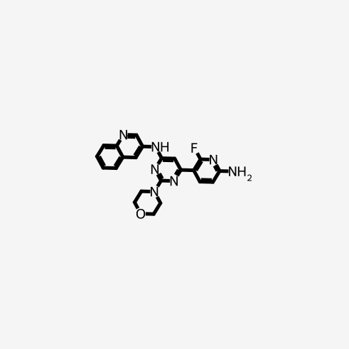 Nc1ccc(-c2cc(Nc3cnc4ccccc4c3)nc(N3CCOCC3)n2)c(F)n1